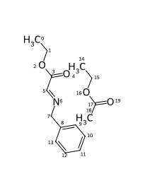 CCOC(=O)C=NCc1ccccc1.CCOC(C)=O